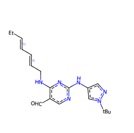 CC/C=C/C=C/CNc1nc(Nc2cnn(C(C)(C)C)c2)ncc1C=O